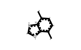 Cc1ccc(C)c2ocnc12